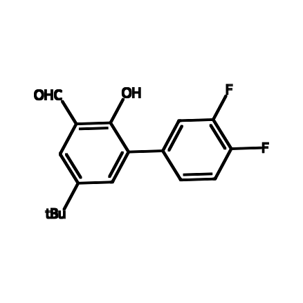 CC(C)(C)c1cc(C=O)c(O)c(-c2ccc(F)c(F)c2)c1